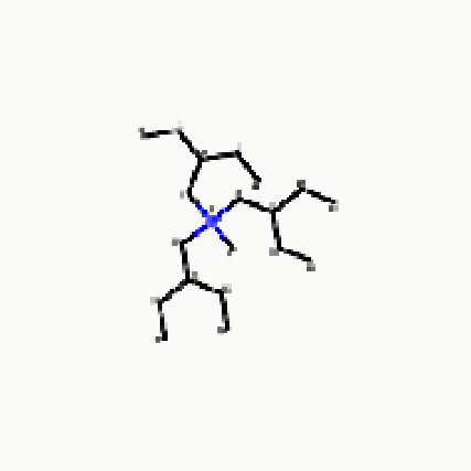 CCC(CC)C[N+](C)(CC(CC)CC)CC(CC)CC